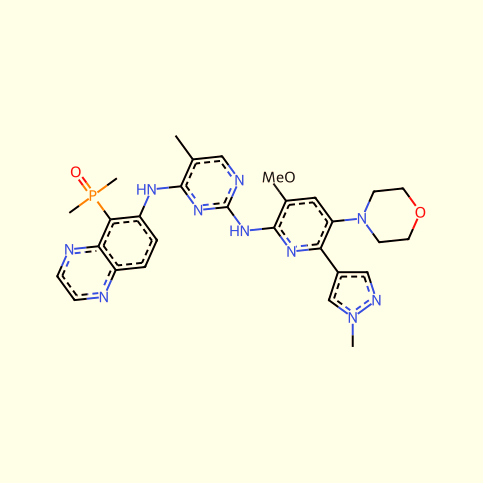 COc1cc(N2CCOCC2)c(-c2cnn(C)c2)nc1Nc1ncc(C)c(Nc2ccc3nccnc3c2P(C)(C)=O)n1